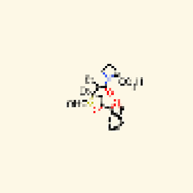 CCC(C(=O)N1CCC[C@H]1C(=O)O)C(CC)(CC(=O)c1occ2ccccc12)SC=O